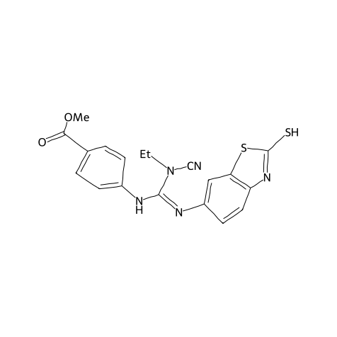 CCN(C#N)C(=Nc1ccc2nc(S)sc2c1)Nc1ccc(C(=O)OC)cc1